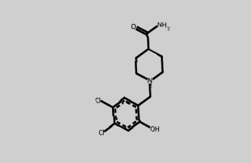 NC(=O)C1CCN(Cc2cc(Cl)c(Cl)cc2O)CC1